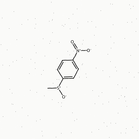 C[S+]([O-])c1[c]cc([N+](=O)[O-])cc1